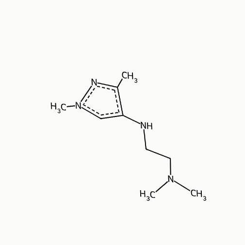 Cc1nn(C)cc1NCCN(C)C